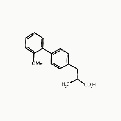 COc1ccccc1-c1ccc(CC(C)C(=O)O)cc1